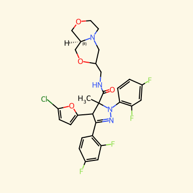 CC1(C(=O)NCC2CN3CCOC[C@@H]3CO2)C(c2ccc(Cl)o2)C(c2ccc(F)cc2F)=NN1c1ccc(F)cc1F